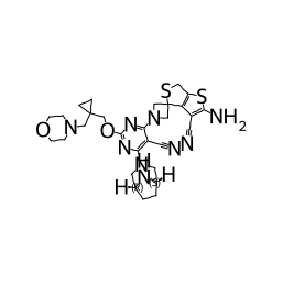 N#Cc1c(N2C[C@H]3CC[C@@H](C2)N3)nc(OCC2(CN3CCOCC3)CC2)nc1N1CC2(C1)SCc1sc(N)c(C#N)c12